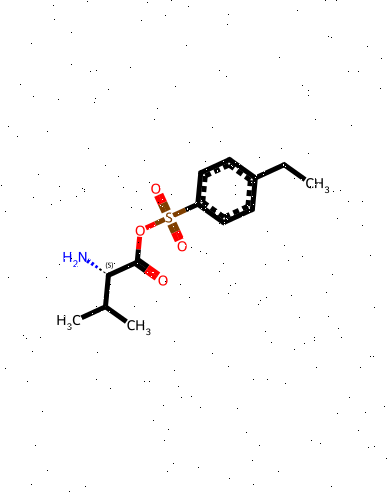 CCc1ccc(S(=O)(=O)OC(=O)[C@@H](N)C(C)C)cc1